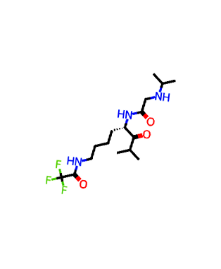 CC(C)NCC(=O)N[C@@H](CCCCNC(=O)C(F)(F)F)C(=O)C(C)C